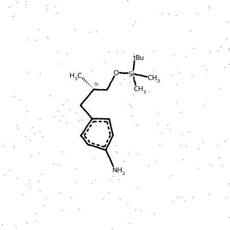 C[C@H](CO[Si](C)(C)C(C)(C)C)Cc1ccc(N)cc1